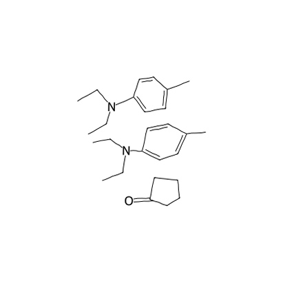 CCN(CC)c1ccc(C)cc1.CCN(CC)c1ccc(C)cc1.O=C1CCCC1